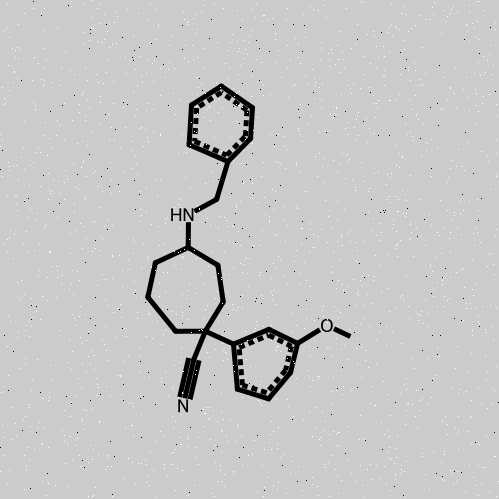 COc1cccc(C2(C#N)CCCC(NCc3ccccc3)CC2)c1